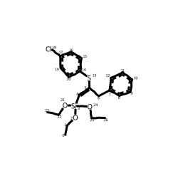 CCO[Si](C=C(Cc1ccccc1)Sc1ccc(Cl)cc1)(OCC)OCC